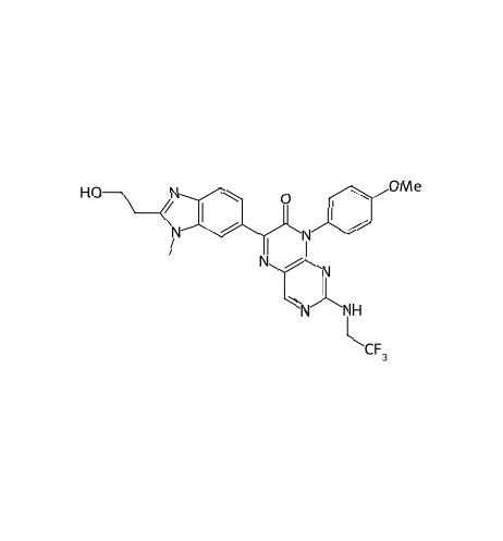 COc1ccc(-n2c(=O)c(-c3ccc4nc(CCO)n(C)c4c3)nc3cnc(NCC(F)(F)F)nc32)cc1